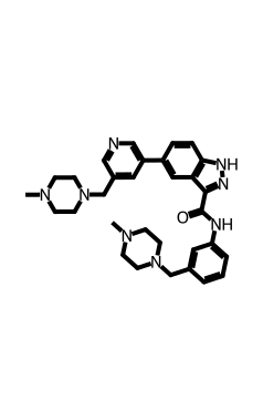 CN1CCN(Cc2cccc(NC(=O)c3n[nH]c4ccc(-c5cncc(CN6CCN(C)CC6)c5)cc34)c2)CC1